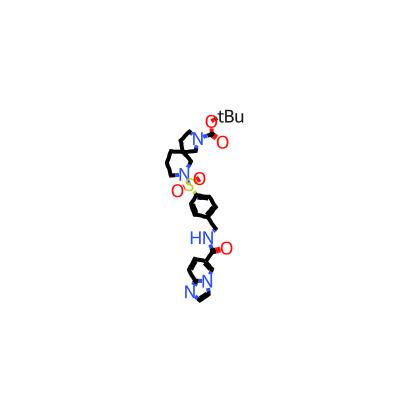 CC(C)(C)OC(=O)N1CCC2(CCCN(S(=O)(=O)c3ccc(CNC(=O)c4ccc5nccn5c4)cc3)C2)C1